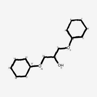 OC(COC1CCCCC1)COC1CCCCC1